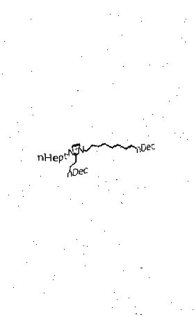 CCCCCCCCCCCCCCCCCCn1cc[n+](CCCCCCC)c1CCCCCCCCCCCC